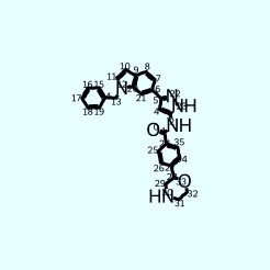 O=C(Nc1cc(-c2ccc3ccn(Cc4ccccc4)c3c2)n[nH]1)c1ccc(C2CNCCO2)cc1